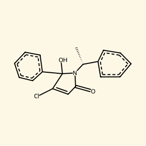 C[C@H](c1ccccc1)N1C(=O)C=C(Cl)C1(O)c1ccccc1